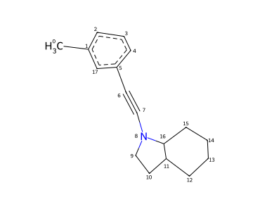 Cc1cccc(C#CN2CCC3CCCCC32)c1